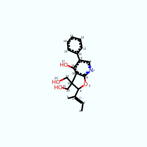 C/C=C(\C)C1Oc2ncc(-c3ccccc3)c(O)c2C1(CO)CO